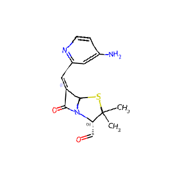 CC1(C)SC2/C(=C\c3cc(N)ccn3)C(=O)N2[C@H]1C=O